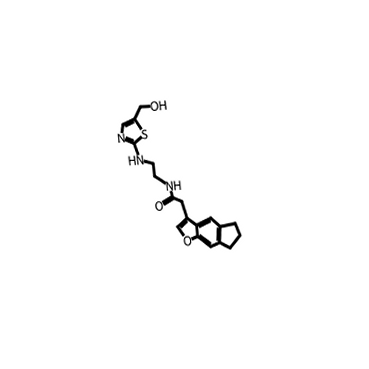 O=C(Cc1coc2cc3c(cc12)CCC3)NCCNc1ncc(CO)s1